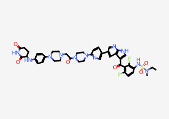 CCN(C)S(=O)(=O)Nc1ccc(F)c(C(=O)c2c[nH]c3ncc(-c4ccc(N5CCN(C(=O)CN6CCN(c7ccc(NC8CCC(=O)NC8=O)cc7)CC6)CC5)nc4)cc23)c1F